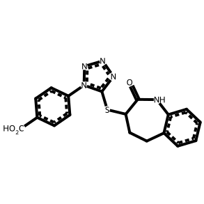 O=C(O)c1ccc(-n2nnnc2SC2CCc3ccccc3NC2=O)cc1